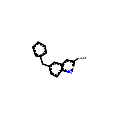 CCOC(=O)c1cnc2ccc(Cc3ccccc3)cc2c1